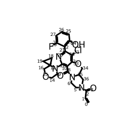 C=CC(=O)N1CCN2C(=O)c3c(N4CCOCC45CC5)nc(-c4c(O)cccc4F)c(Cl)c3OCC2C1